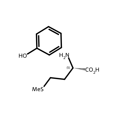 CSCC[C@H](N)C(=O)O.Oc1ccccc1